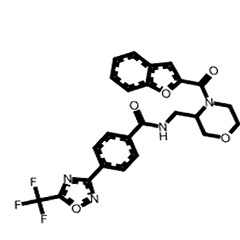 O=C(NCC1COCCN1C(=O)c1cc2ccccc2o1)c1ccc(-c2noc(C(F)(F)F)n2)cc1